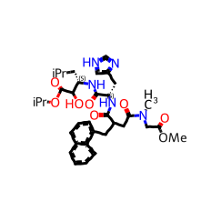 COC(=O)CN(C)C(=O)CC(Cc1cccc2ccccc12)C(=O)N[C@@H](Cc1c[nH]cn1)C(=O)N[C@@H](CC(C)C)C(O)C(=O)OC(C)C